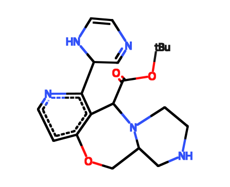 CC(C)(C)OC(=O)C1c2c(ccnc2C2C=NC=CN2)OCC2CNCCN21